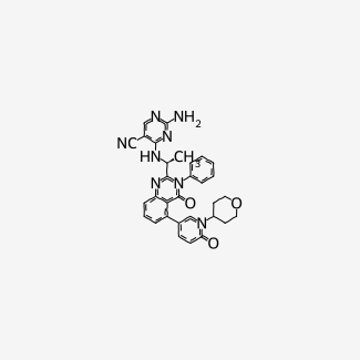 C[C@H](Nc1nc(N)ncc1C#N)c1nc2cccc(-c3ccc(=O)n(C4CCOCC4)c3)c2c(=O)n1-c1ccccc1